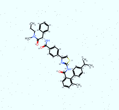 CCCN(C)C(=O)[C@@H](NC(=O)c1ccc(-c2csc(NC(=O)c3cccc(C)c3-c3ccc(C(C)C)cc3)n2)cc1)c1ccccc1